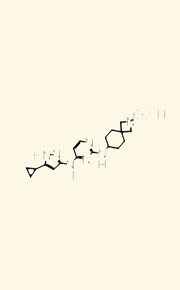 O=C(O)N1CC2(CCC(Nc3nccc(Nc4cc(C5CC5)[nH]n4)n3)CC2)C1